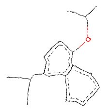 CC(C)Oc1ccc(C(C)C)c2ccccc12